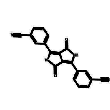 N#Cc1cccc(C2=C3C(=O)[IH]C(c4cccc(C#N)c4)=C3C(=O)N2)c1